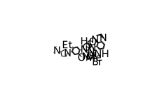 CCc1cc(Nc2ncc(Br)c(Nc3ccc4nccnc4c3NS(C)(=O)=O)n2)c(OC)cc1N1CCC(N(C)C)C1